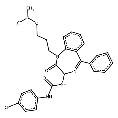 CN(C)OCCCN1C(=O)C(NC(=O)Nc2ccc(Cl)cc2)N=C(c2ccccc2)c2ccccc21